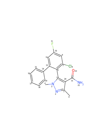 Cc1nn(C)c(-c2c(Cl)cc(F)cc2-c2ccccc2)c1C(N)=O